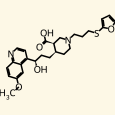 COc1ccc2nccc([C@H](O)CC[C@@H]3CCN(CCCSc4ccco4)C[C@@H]3C(=O)O)c2c1